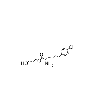 NC(CCCCc1ccc(Cl)cc1)C(=O)OCCCO